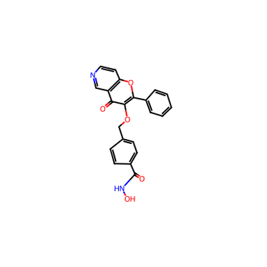 O=C(NO)c1ccc(COc2c(-c3ccccc3)oc3ccncc3c2=O)cc1